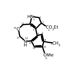 CCOC(=O)C1CNC2=C1c1cc(C)c(OC)cc1NCOC2